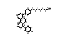 OCCCCCCc1ccc(-c2ccnc3c2ccc2c(-c4ccccc4)ccnc23)cc1